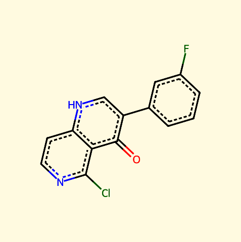 O=c1c(-c2cccc(F)c2)c[nH]c2ccnc(Cl)c12